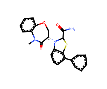 CN1C(=O)[C@@H](N2c3cccc(-c4ccccc4)c3SC2C(N)=O)COc2ccccc21